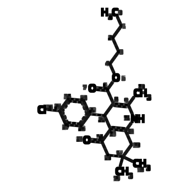 CCCCCOC(=O)C1=C(C)NC2=C(C(=O)CC(C)(C)C2)C1c1ccc(Cl)cc1